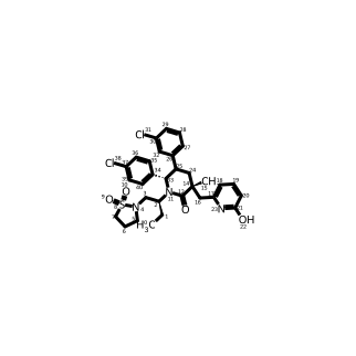 CC[C@@H](CN1CCCS1(=O)=O)N1C(=O)[C@@](C)(Cc2cccc(O)n2)CC(c2cccc(Cl)c2)[C@H]1c1ccc(Cl)cc1